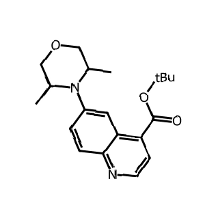 CC1COCC(C)N1c1ccc2nccc(C(=O)OC(C)(C)C)c2c1